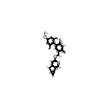 Cc1cc(OF)cc(C)c1-c1cc(COc2cc3c(cn2)C2CC2C3)c(F)cc1F